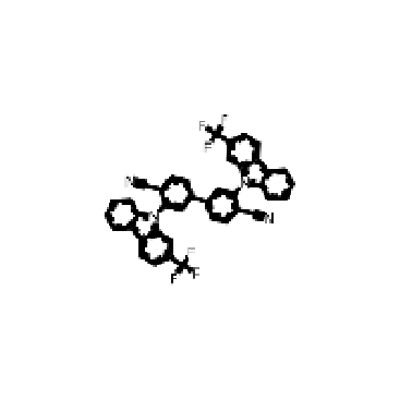 N#Cc1ccc(-c2ccc(C#N)c(-n3c4ccccc4c4ccc(C(F)(F)F)cc43)c2)cc1-n1c2ccccc2c2ccc(C(F)(F)F)cc21